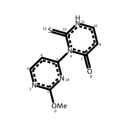 COc1nccc(-n2c(=O)cc[nH]c2=S)n1